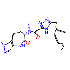 C=C(/C=C\C=C/C)Cc1nnc(C(=O)N[C@H]2CCc3c(cnn3C)NC2=O)[nH]1